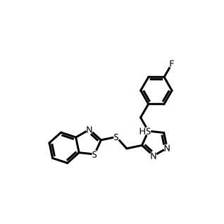 Fc1ccc(C[SH]2C=NN=C2CSc2nc3ccccc3s2)cc1